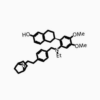 CCN(Cc1ccc(CCN2C3CCC2CC3)cc1)c1cc(OC)c(OC)cc1[C@@H]1CCc2cc(O)ccc2C1